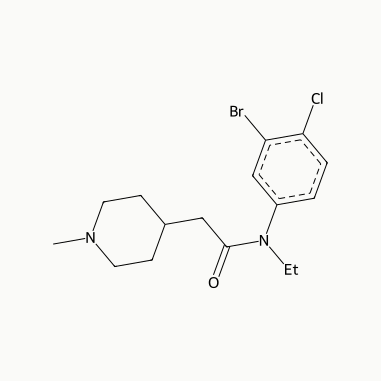 CCN(C(=O)CC1CCN(C)CC1)c1ccc(Cl)c(Br)c1